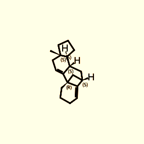 C[C@]12CC=C3[C@@H](C[C@H]4C[C@@]35CCCC=C45)[C@@H]1CCC2